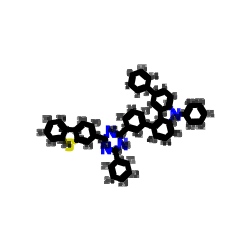 c1ccc(-c2ccc3c(c2)c2c(-c4cccc(-c5nc(-c6ccccc6)nc(-c6ccc7c(c6)sc6ccccc67)n5)c4)cccc2n3-c2ccccc2)cc1